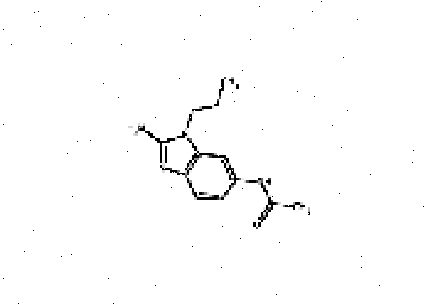 CCCn1c(N)nc2ccc(NC(C)=O)cc21